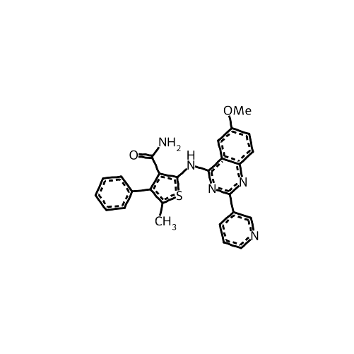 COc1ccc2nc(-c3cccnc3)nc(Nc3sc(C)c(-c4ccccc4)c3C(N)=O)c2c1